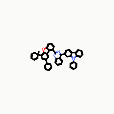 CC1(c2cc(-c3ccccc3)cc3c2oc2cccc(-c4nc(C5=CC=C6c7ccccc7N(c7ccccc7)C6C5)c5ccccc5n4)c23)C=CC=CC1